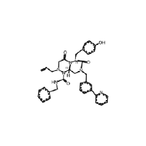 C=CCN1CC(=O)N2[C@@H](Cc3ccc(O)cc3)C(=O)N(Cc3cccc(-c4ccccn4)c3)C[C@@H]2N1C(=O)NCc1ccccc1